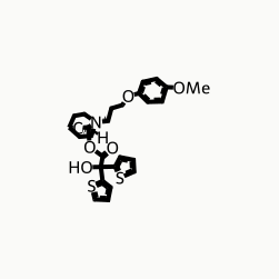 COc1ccc(OCCC[N+]23CCC(CC2)C[C@H]3OC(=O)C(O)(c2cccs2)c2cccs2)cc1